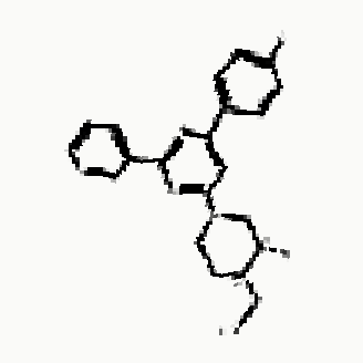 OC[C@H]1CCN(c2cc(-c3ccc(Cl)cc3)nc(-c3cccnc3)n2)C[C@@H]1F